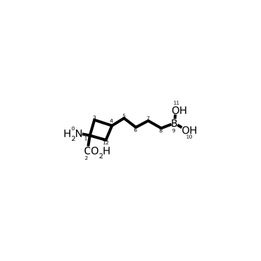 NC1(C(=O)O)CC(CCCCB(O)O)C1